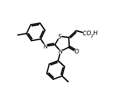 Cc1cccc(N=C2SC(=CC(=O)O)C(=O)N2c2cccc(C)c2)c1